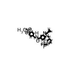 CCS(=O)(=O)c1ccc(CNC(=O)c2ccc3c(c2)nc(C2CC2)n3C[C@H]2CCN(CC(F)(F)F)C2)cc1